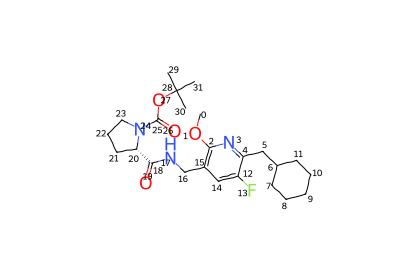 COc1nc(CC2CCCCC2)c(F)cc1CNC(=O)[C@@H]1CCCN1C(=O)OC(C)(C)C